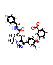 Cc1nc(-c2nnn(C)c2CN(C)C(=O)NCc2ccccc2)ccc1OC1CCC[C@H](C(=O)O)C1